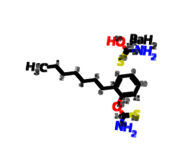 CCCCCCCc1ccccc1OC(N)=S.NC(O)=S.[BaH2]